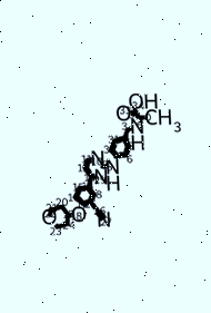 CC(NCc1ccc(Nc2nccc(-c3ccc(OC4CCOCC4)c(C#N)c3)n2)cc1)C(=O)O